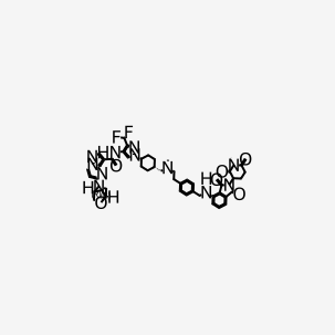 CN(CCc1ccc(CNc2cccc3c2C(=O)N(C2CCC(=O)N(C)C2=O)C3=O)cc1)C[C@H]1CC[C@H](n2cc(NC(=O)c3cnn4ccc(N5C[C@H]6C[C@@H]5CO6)nc34)c(C(F)F)n2)CC1